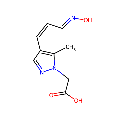 Cc1c(/C=C\C=N\O)cnn1CC(=O)O